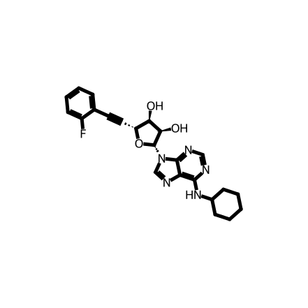 O[C@@H]1[C@H](O)[C@@H](C#Cc2ccccc2F)O[C@H]1n1cnc2c(NC3CCCCC3)ncnc21